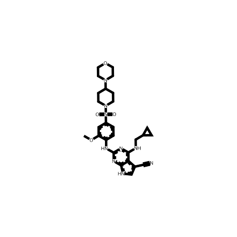 COc1cc(S(=O)(=O)N2CCC(N3CCOCC3)CC2)ccc1Nc1nc(NCC2CC2)c2c(C#N)c[nH]c2n1